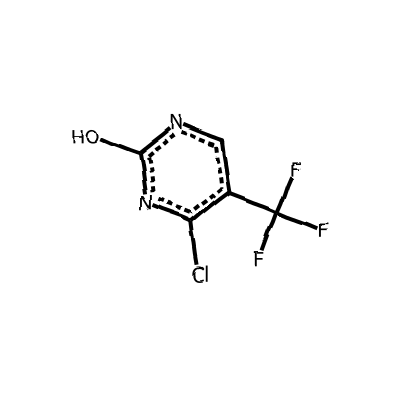 Oc1ncc(C(F)(F)F)c(Cl)n1